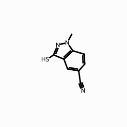 Cn1nc(S)c2cc(C#N)ccc21